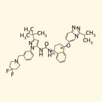 CC(C)c1nnc2ccc(O[C@@H]3CC[C@H](NC(=O)Nc4cc(C(C)(C)C)nn4-c4cccc(CN5CCC(F)(F)CC5)c4)c4ccccc43)cn12